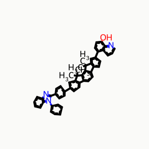 CC1(C)c2cc(-c3ccc(-c4nc5ccccc5n4-c4ccccc4)cc3)ccc2-c2ccc3c(c21)C(C)(C)c1cc(-c2ccc(O)c4ncccc24)ccc1-3